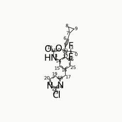 CC(F)(F)[C@@]1(C#CC2CC2)OC(=O)Nc2cc(Cc3ccnc(Cl)n3)ccc21